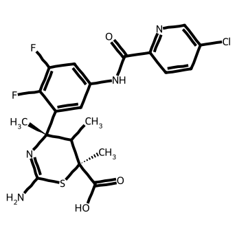 CC1[C@@](C)(C(=O)O)SC(N)=N[C@]1(C)c1cc(NC(=O)c2ccc(Cl)cn2)cc(F)c1F